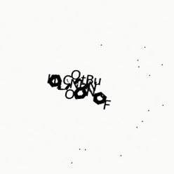 C[C@H](NC(=O)C(C)(C)C)[C@H](Cc1ccccc1)Oc1ccc2c(cnn2-c2ccc(F)cc2)c1